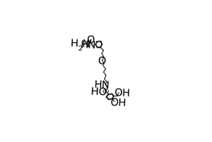 NC(=O)Nc1cccc(CCCOCCCCCCCNC[C@@H](O)c2ccc(O)c(CO)c2)c1